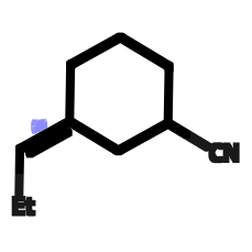 CC/C=C1/CCCC(C#N)C1